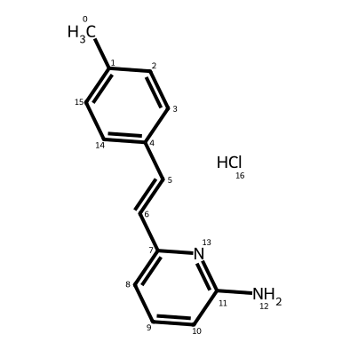 Cc1ccc(C=Cc2cccc(N)n2)cc1.Cl